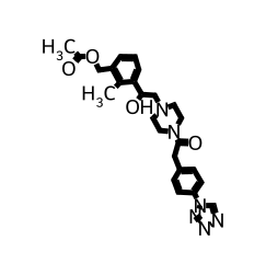 CC(=O)OCc1cccc(C(O)CN2CCN(C(=O)Cc3ccc(-n4cnnn4)cc3)CC2)c1C